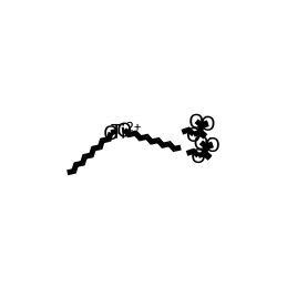 C=C(OCC)C(=O)[O-].C=C(OCC)C(=O)[O-].CCCCCCCCCC[O][Ti+2][O]CCCCCCCCCC